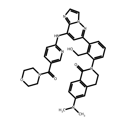 CN(C)c1ccc2c(c1)CCN(c1cccc(-c3cc(Nc4ccc(C(=O)N5CCOCC5)cn4)c4nccn4n3)c1CO)C2=O